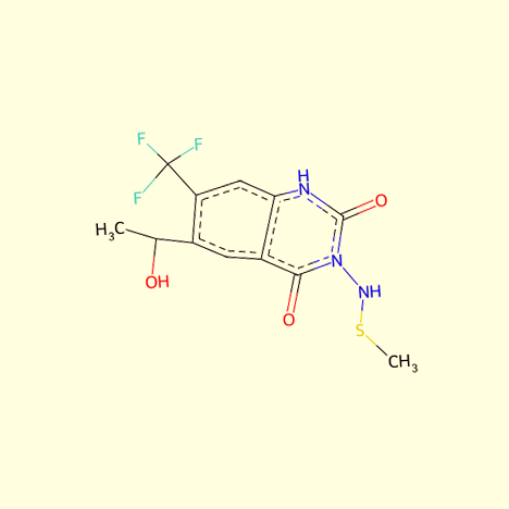 CSNn1c(=O)[nH]c2cc(C(F)(F)F)c(C(C)O)cc2c1=O